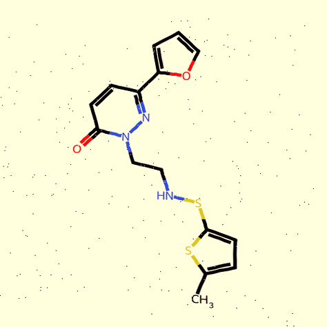 Cc1ccc(SNCCn2nc(-c3ccco3)ccc2=O)s1